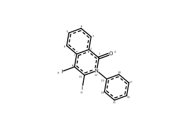 O=c1c2ccccc2c(I)c(I)n1-c1ccccc1